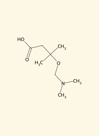 CN(C)COC(C)(C)CC(=O)O